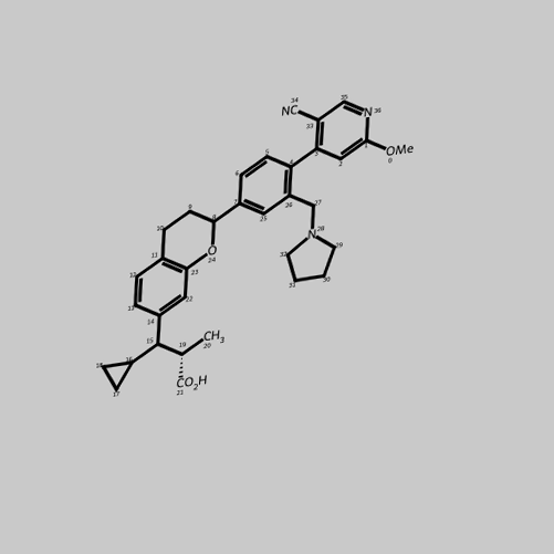 COc1cc(-c2ccc(C3CCc4ccc(C(C5CC5)[C@H](C)C(=O)O)cc4O3)cc2CN2CCCC2)c(C#N)cn1